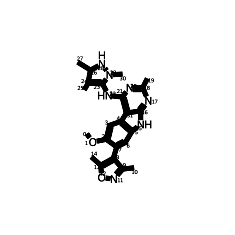 COc1cc2c(cc1-c1c(C)noc1C)[nH]c1nc(C)nc(NC3=C(C)C(C)NN3C)c12